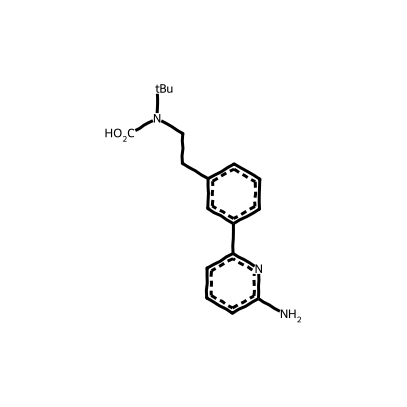 CC(C)(C)N(CCc1cccc(-c2cccc(N)n2)c1)C(=O)O